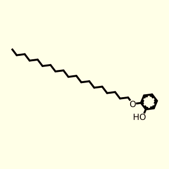 CCCCCCCCCCCCCCCCCCCOc1ccccc1O